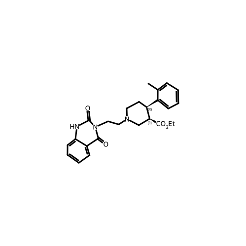 CCOC(=O)[C@H]1CN(CCn2c(=O)[nH]c3ccccc3c2=O)CC[C@H]1c1ccccc1C